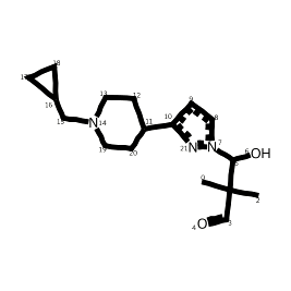 CC(C)(C=O)C(O)n1ccc(C2CCN(CC3CC3)CC2)n1